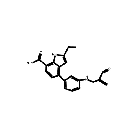 C=C(C=O)CNc1cccc(-c2ccc(C(N)=O)c3[nH]c(CC)cc23)c1